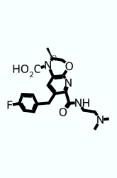 C[C@H]1COc2nc(C(=O)NCCN(C)C)c(Cc3ccc(F)cc3)cc2N1C(=O)O